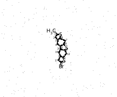 Cc1cc2cc3c(cc2s1)sc1cc2sc(Br)cc2cc13